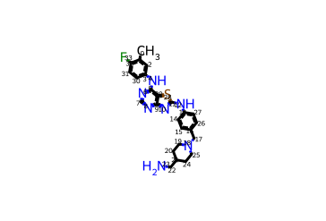 Cc1cc(Nc2ncnc3nc(Nc4ccc(CN5CCC(CN)CC5)cc4)sc23)ccc1F